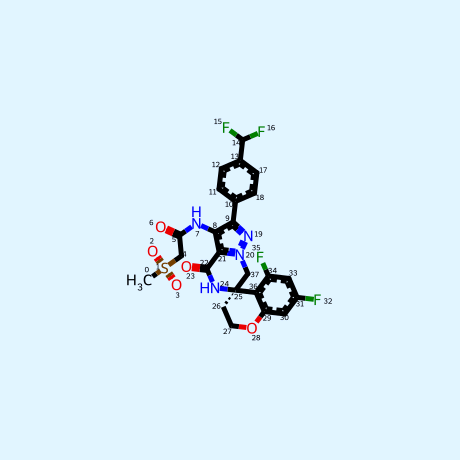 CS(=O)(=O)CC(=O)Nc1c(-c2ccc(C(F)F)cc2)nn2c1C(=O)N[C@@]1(CCOc3cc(F)cc(F)c31)C2